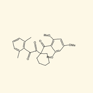 COc1cc(OC)c(C(=O)C2([P](=O)C(=O)c3c(C)cccc3C)CCCCC2)c(OC)c1